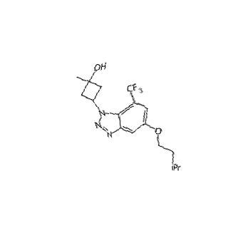 CC(C)CCOc1cc(C(F)(F)F)c2c(c1)nnn2C1CC(C)(O)C1